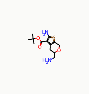 CC(C)(C)OC(=O)c1c(N)sc2c1CC(CN)OC2